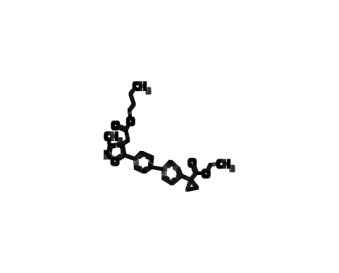 CCCCOC(=O)Cc1c(C)noc1-c1ccc(-c2ccc(C3(C(=O)OCC)CC3)cc2)cc1